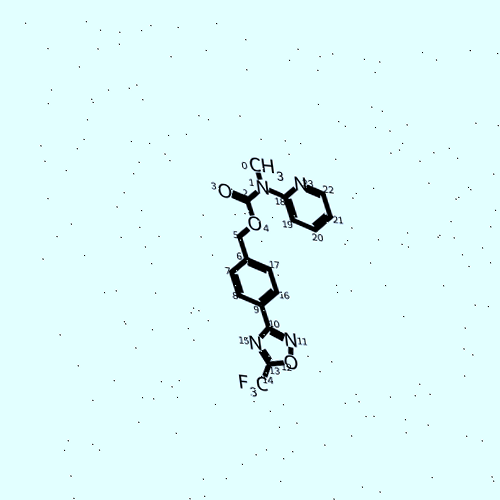 CN(C(=O)OCc1ccc(-c2noc(C(F)(F)F)n2)cc1)c1ccccn1